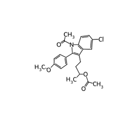 COc1ccc(-c2c(CCC(C)OC(C)=O)c3cc(Cl)ccc3n2C(C)=O)cc1